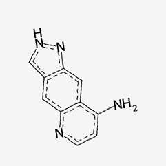 Nc1ccnc2cc3c[nH]nc3cc12